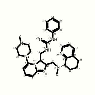 CN1CCN(C2=CC=CC3=NC(CN(C)[C@H]4CCCc5cccnc54)C(CNC(=O)Nc4ccccc4)N23)CC1